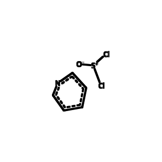 [O-][S+](Cl)Cl.c1ccncc1